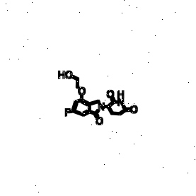 O=C1CCC(N2Cc3c(OCCO)cc(F)cc3C2=O)C(=O)N1